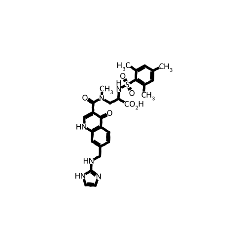 Cc1cc(C)c(S(=O)(=O)NC(CN(C)C(=O)c2c[nH]c3cc(CNc4ncc[nH]4)ccc3c2=O)C(=O)O)c(C)c1